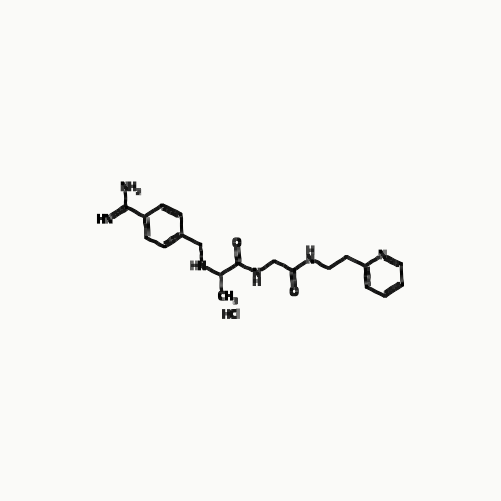 CC(NCc1ccc(C(=N)N)cc1)C(=O)NCC(=O)NCCc1ccccn1.Cl